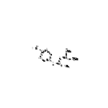 COc1ccc(Sc2ccc(C=O)cc2)cc1OC